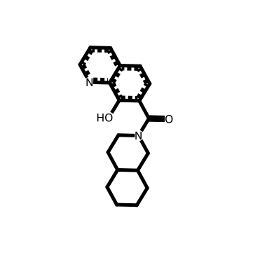 O=C(c1ccc2cccnc2c1O)N1CCC2CCCCC2C1